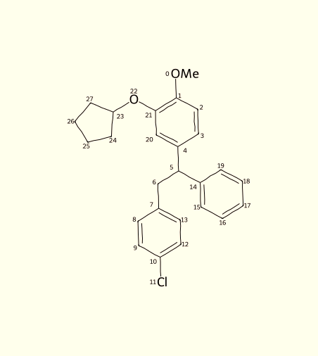 COc1ccc(C(Cc2ccc(Cl)cc2)c2ccccc2)cc1OC1CCCC1